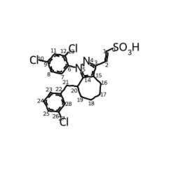 O=S(=O)(O)C=Cc1nn(-c2ccc(Cl)cc2Cl)c2c1CCCCC2Cc1cccc(Cl)c1